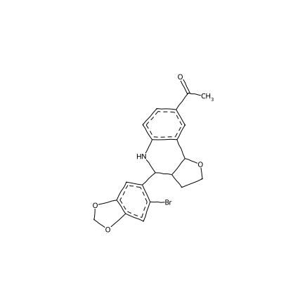 CC(=O)c1ccc2c(c1)C1OCCC1C(c1cc3c(cc1Br)OCO3)N2